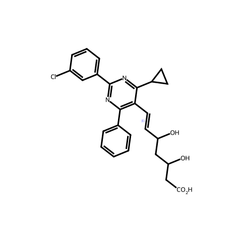 O=C(O)CC(O)CC(O)/C=C/c1c(-c2ccccc2)nc(-c2cccc(Cl)c2)nc1C1CC1